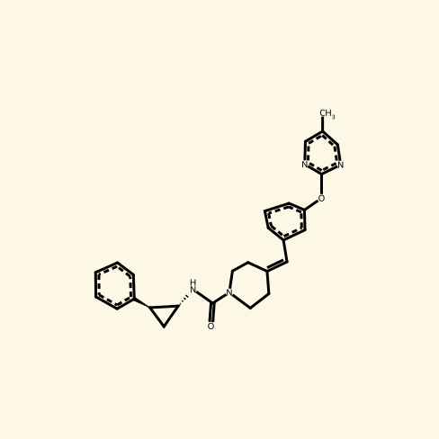 Cc1cnc(Oc2cccc(C=C3CCN(C(=O)N[C@@H]4C[C@H]4c4ccccc4)CC3)c2)nc1